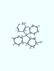 C/C=C\C(=C/CC)C1(c2ccccc2)c2ccccc2-c2ccc(I)cc21